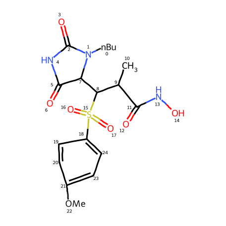 CCCCN1C(=O)NC(=O)C1C(C(C)C(=O)NO)S(=O)(=O)c1ccc(OC)cc1